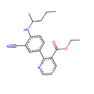 CCCC(C)Nc1ccc(-c2ncccc2C(=O)OCC)cc1C#N